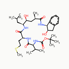 CSCC[C@H](NC(=O)[C@@H](NC(=O)OC(C)(C)C)C(C)C)C(=O)N[C@@H](CC(C)C)[C@@H](O)C[C@@H](C)C(=O)N[C@H]1c2ccccc2C[C@H]1O